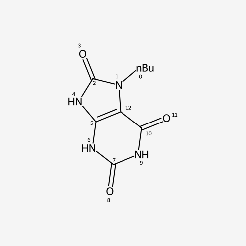 CCCCn1c(=O)[nH]c2[nH]c(=O)[nH]c(=O)c21